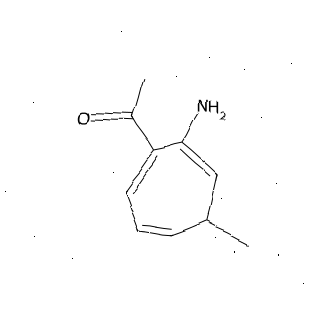 CC(=O)C1=CC=CC(C)C=C1N